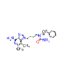 Cc1nc(N)c2ncn(CCCCN(C(N)=O)[C@@H]3C[C@H]3c3ccccc3)c2c1C